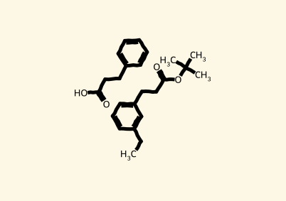 CCc1cccc(CCC(=O)OC(C)(C)C)c1.O=C(O)CCc1ccccc1